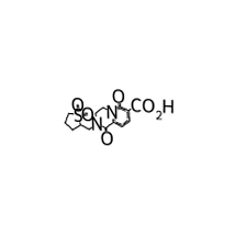 O=C(O)c1ccc2n(c1=O)CCN(CC1CCCS1(=O)=O)C2=O